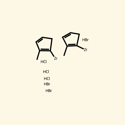 Br.Br.Br.CC1=[C]([Zr])CC=C1.CC1=[C]([Zr])CC=C1.Cl.Cl.Cl